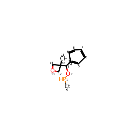 CCPOC(c1ccccc1)C1(C)COC1